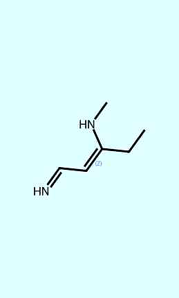 CC/C(=C/C=N)NC